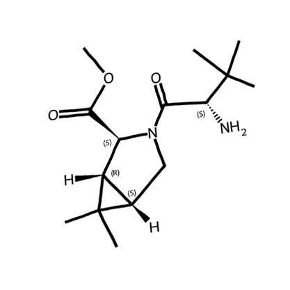 COC(=O)[C@@H]1[C@@H]2[C@H](CN1C(=O)[C@@H](N)C(C)(C)C)C2(C)C